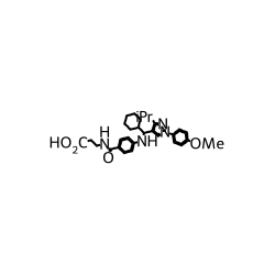 COc1ccc(-n2cc(C(Nc3ccc(C(=O)NCCC(=O)O)cc3)C3CCCCC3)c(C(C)C)n2)cc1